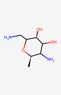 C[C@H]1OC(CN)[C@@H](O)C(O)C1N